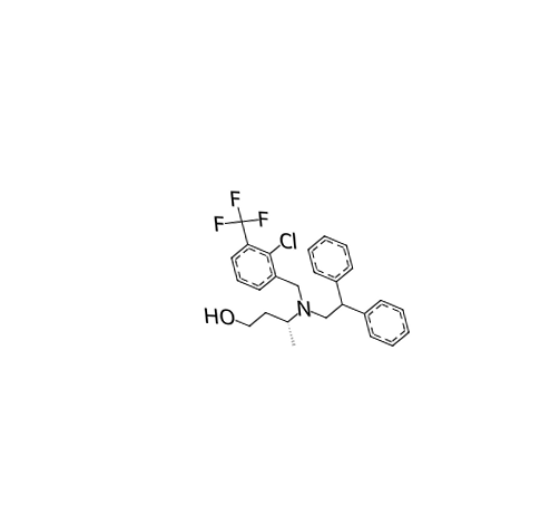 C[C@H](CCO)N(Cc1cccc(C(F)(F)F)c1Cl)CC(c1ccccc1)c1ccccc1